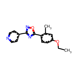 CCOc1ccc(-c2nc(-c3ccncc3)no2)c(C)c1